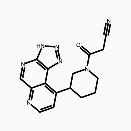 N#CCC(=O)N1CCCC(c2ccnc3cnc4[nH]nnc4c23)C1